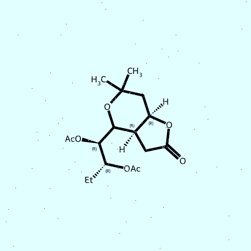 CC[C@@H](OC(C)=O)[C@@H](OC(C)=O)C1OC(C)(C)C[C@H]2OC(=O)C[C@@H]12